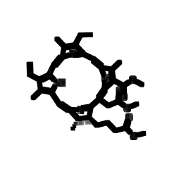 C=Cc1c(C)c2cc3nc(c(CC(=O)OC)c4[nH]c(cc5nc(cc1[nH]2)C(C)=C5CC)c(C)c4C(=O)OC)[C@@H](CCCC(=O)OC)[C@@H]3C